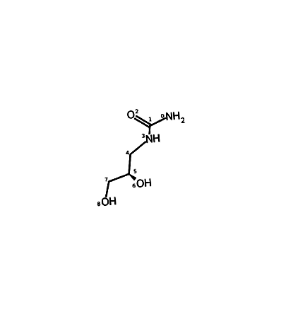 NC(=O)NC[C@@H](O)CO